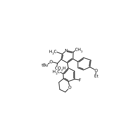 CCOc1ccc(-c2c(C)nc(C)c(C(OC(C)(C)C)C(=O)O)c2-c2cc(F)c3c(c2C)CCCO3)cc1